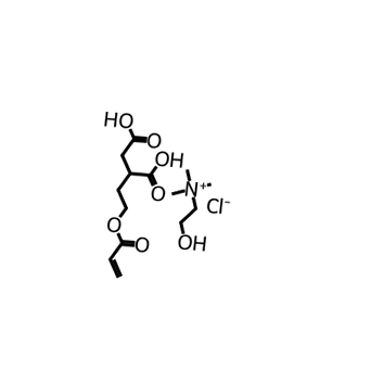 C=CC(=O)OCCC(CC(=O)O)C(=O)O.C[N+](C)(C)CCO.[Cl-]